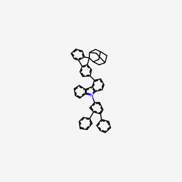 c1ccc(-c2ccc(-n3c4ccccc4c4c(-c5ccc6c(c5)C5(c7ccccc7-6)C6CC7CC(C6)CC5C7)cccc43)cc2-c2ccccc2)cc1